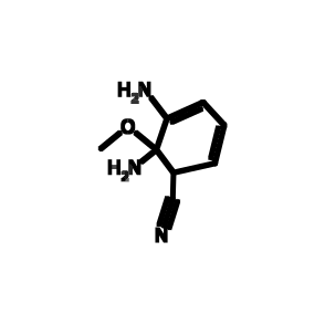 COC1(N)C(N)=CC=CC1C#N